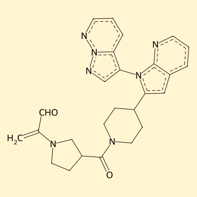 C=C(C=O)N1CCC(C(=O)N2CCC(c3cc4cccnc4n3-c3cnn4ncccc34)CC2)C1